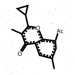 CC(=O)c1cc(C)cc2c(=O)c(C)c(C3CC3)oc12